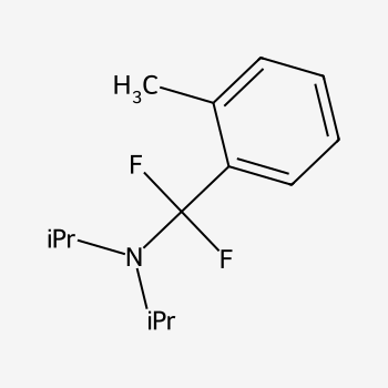 Cc1ccccc1C(F)(F)N(C(C)C)C(C)C